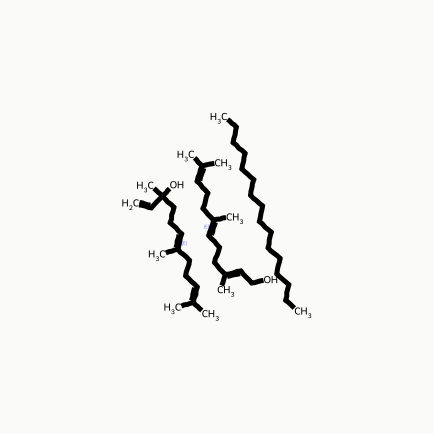 C=CC(C)(O)CC/C=C(\C)CCC=C(C)C.CC(C)=CCC/C(C)=C/CCC(C)=CCO.CCCCCCCCCCCCCCCC